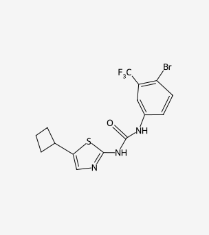 O=C(Nc1ccc(Br)c(C(F)(F)F)c1)Nc1ncc(C2CCC2)s1